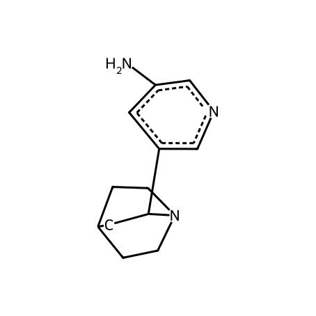 Nc1cncc(C2CC3CCN2CC3)c1